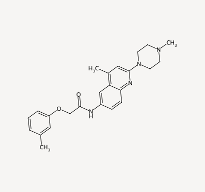 Cc1cccc(OCC(=O)Nc2ccc3nc(N4CCN(C)CC4)cc(C)c3c2)c1